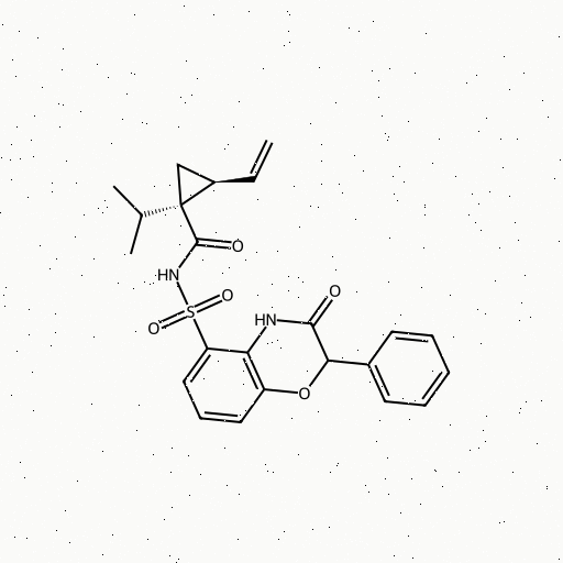 C=C[C@@H]1C[C@@]1(C(=O)NS(=O)(=O)c1cccc2c1NC(=O)C(c1ccccc1)O2)C(C)C